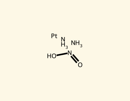 N.N.O=NO.[Pt]